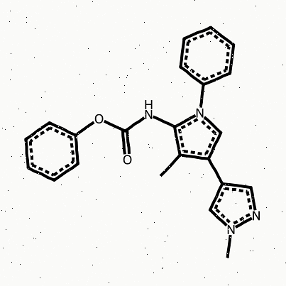 Cc1c(-c2cnn(C)c2)cn(-c2ccccc2)c1NC(=O)Oc1ccccc1